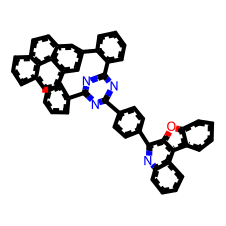 c1ccc(-c2nc(-c3ccc(-c4nc5ccccc5c5c4oc4ccccc45)cc3)nc(-c3ccccc3-c3cc4ccc5cccc6ccc(c3)c4c56)n2)cc1